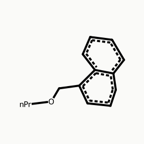 [CH2]CCOCc1cccc2ccccc12